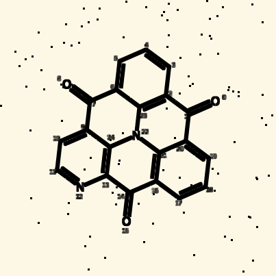 O=c1c2cccc3c(=O)c4ccnc5c(=O)c6cccc1c6n(c23)c45